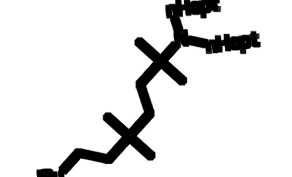 CCCCCCCN(CCCCCCC)C(C)(C)CCC(C)(C)CCC(C)CC